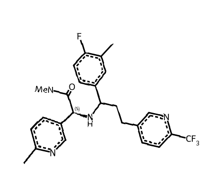 CNC(=O)[C@@H](NC(CCc1ccc(C(F)(F)F)nc1)c1ccc(F)c(C)c1)c1ccc(C)nc1